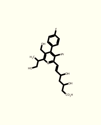 CCCc1c(C=CC(O)CC(O)CC(=O)O)nc(C(C)CO)c(CO)c1-c1ccc(F)cc1